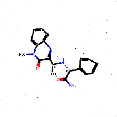 C[C@H](N[C@@H](C(N)=O)c1ccccc1)c1nc2ccccc2n(C)c1=O